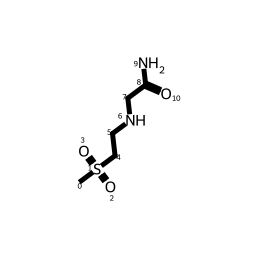 CS(=O)(=O)CCNCC(N)=O